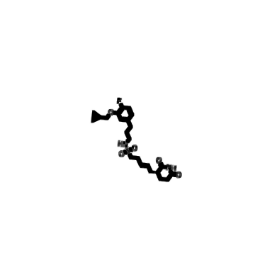 O=C1CC[C@@H](C/C=C/CCS(=O)(=O)NCCCc2ccc(F)c(OCC3CC3)c2)C(=O)N1